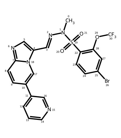 CN(N=Cc1cnc2ccc(-c3cccnc3)cn12)S(=O)(=O)c1ccc(Br)cc1OC(F)(F)F